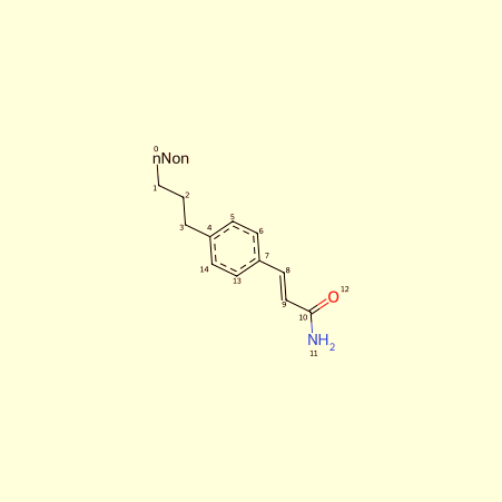 CCCCCCCCCCCCc1ccc(C=CC(N)=O)cc1